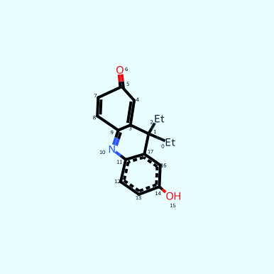 CCC1(CC)C2=CC(=O)C=CC2=Nc2ccc(O)cc21